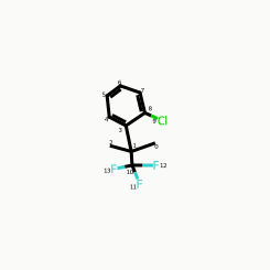 CC(C)(c1ccccc1Cl)C(F)(F)F